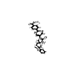 CN(C)[C@]1(c2ccccc2)CC[C@]2(CC1)CN(c1cnc(-c3ccc(C(N)=O)cc3)nc1)C(=O)N2